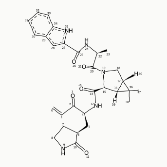 C=CC(=O)[C@H](C[C@@H]1CCNC1=O)NC(=O)[C@@H]1[C@@H]2[C@H](CN1C(=O)[C@H](C)NC(=O)c1cc3ccccc3[nH]1)C2(C)C